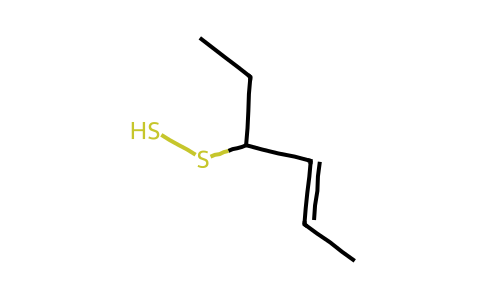 CC=CC(CC)SS